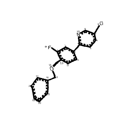 Fc1cc(-c2ccc(Cl)cn2)ccc1OCc1ccccc1